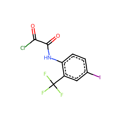 O=C(Cl)C(=O)Nc1ccc(I)cc1C(F)(F)F